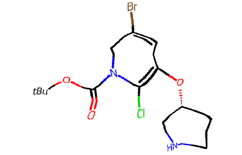 CC(C)(C)OC(=O)N1CC(Br)=CC(O[C@@H]2CCNC2)=C1Cl